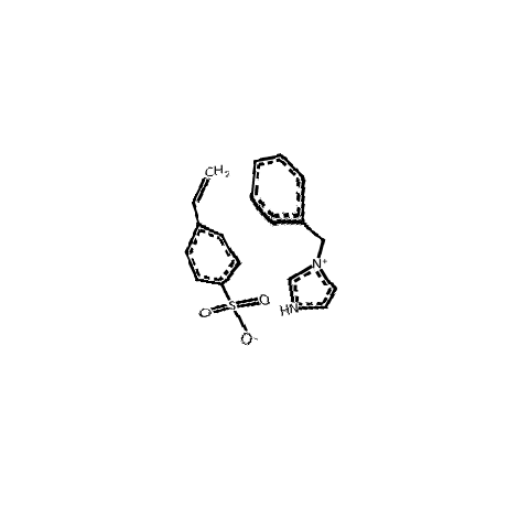 C=Cc1ccc(S(=O)(=O)[O-])cc1.c1ccc(C[n+]2cc[nH]c2)cc1